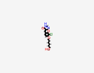 O=C1NCN=C2Oc3c(ccc(OCCCCCCO)c3Cl)C=C12